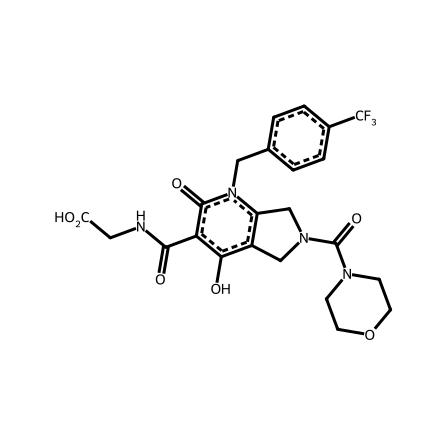 O=C(O)CNC(=O)c1c(O)c2c(n(Cc3ccc(C(F)(F)F)cc3)c1=O)CN(C(=O)N1CCOCC1)C2